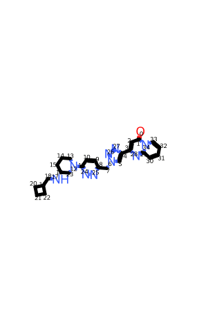 O=c1cc(-c2cn(Cc3ccc(N4CCC[C@@H](NCC5CCC5)C4)nn3)nn2)nc2ccccn12